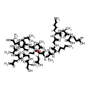 CSCC[C@H](NC(=O)[C@@H](N)CO)C(=O)N[C@@H](CCC(N)=O)C(=O)N[C@@H](C)C(=O)N[C@H](C(=O)N[C@@H](CC(C)C)C(=O)N[C@@H](CCC(=O)O)C(=O)N[C@@H](C)C(=O)N[C@@H](CCC(=O)O)C(=O)N[C@@H](C)C(=O)N[C@@H](CCCCN)C(=O)NCC(=O)N[C@@H](CCCCN)C(=O)N[C@@H](C)C(=O)N[C@@H](CCC(=O)O)C(=O)O)[C@@H](C)O